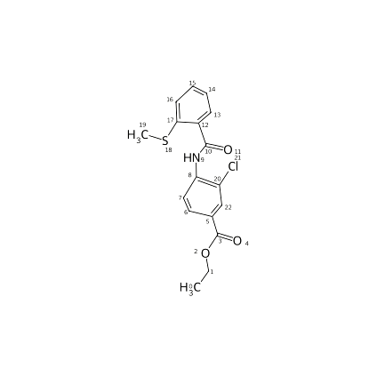 CCOC(=O)c1ccc(NC(=O)c2ccccc2SC)c(Cl)c1